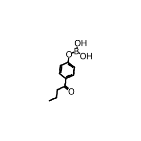 CCCC(=O)c1ccc(OB(O)O)cc1